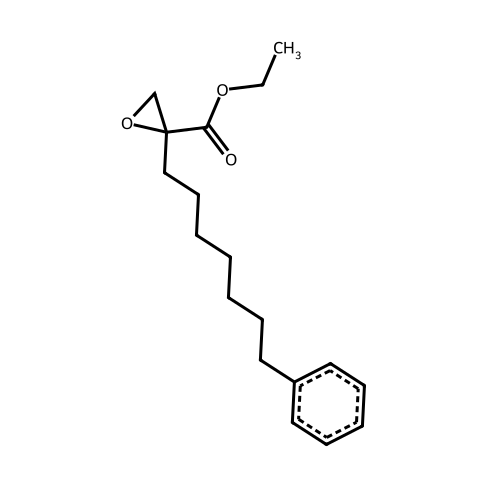 CCOC(=O)C1(CCCCCCCc2ccccc2)CO1